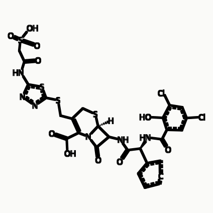 O=C(CS(=O)(=O)O)Nc1nnc(SCC2=C(C(=O)O)N3C(=O)C(NC(=O)[C@@H](NC(=O)c4cc(Cl)cc(Cl)c4O)c4ccccc4)[C@@H]3SC2)s1